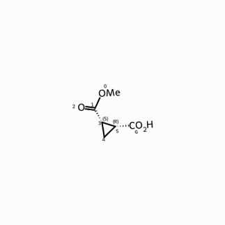 COC(=O)[C@H]1C[C@H]1C(=O)O